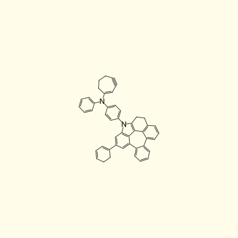 C1#CCCCC(N(c2ccccc2)c2ccc(-n3c4c5c6c(cc(C7=CC=CCC7)cc63)-c3ccccc3-c3cccc(c3-5)CC4)cc2)=C1